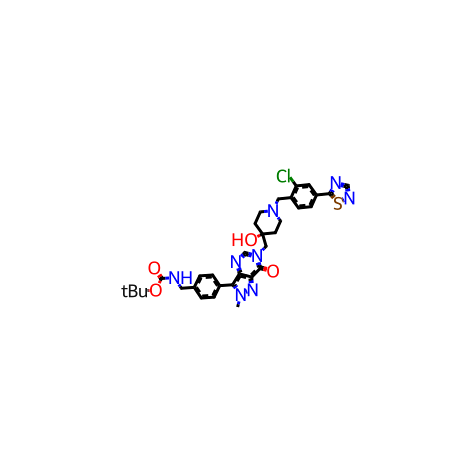 Cn1nc2c(=O)n(CC3(O)CCN(Cc4ccc(-c5ncns5)cc4Cl)CC3)cnc2c1-c1ccc(CNC(=O)OC(C)(C)C)cc1